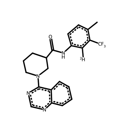 [2H]c1c(NC(=O)C2CCCN(c3ncnc4ccccc34)C2)ccc(C)c1C(F)(F)F